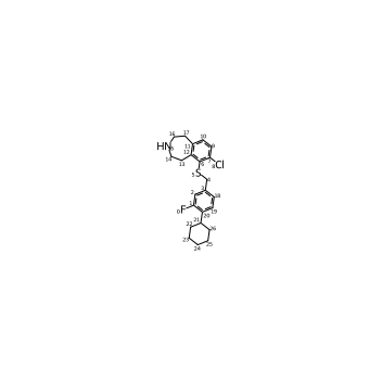 Fc1cc(CSc2c(Cl)ccc3c2CCNCC3)ccc1C1CCCCC1